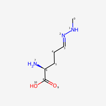 CNN=CCC[C@H](N)C(=O)O